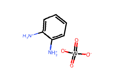 [NH3+]c1ccccc1[NH3+].[O]=[W](=[O])([O-])[O-]